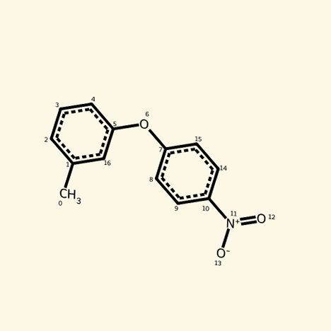 Cc1cccc(Oc2ccc([N+](=O)[O-])cc2)c1